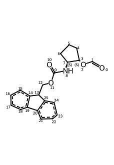 O=CO[C@H]1CCC[C@@H]1NC(=O)OCC1c2ccccc2-c2ccccc21